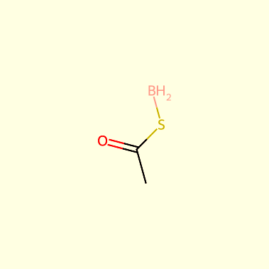 BSC(C)=O